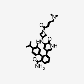 Cc1cc(-c2c(C(N)=O)cccc2-c2c[nH]c(=O)c(NC3CN(C(=O)C=CCN(C)C)C3)c2)ccc1C(C)C